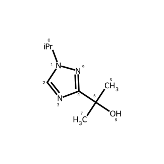 CC(C)n1cnc(C(C)(C)O)n1